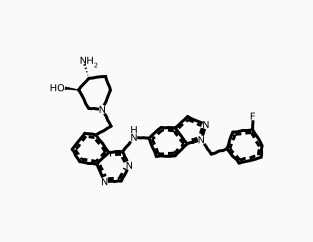 N[C@@H]1CCN(Cc2cccc3ncnc(Nc4ccc5c(cnn5Cc5cccc(F)c5)c4)c23)C[C@H]1O